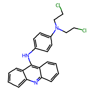 ClCCN(CCCl)c1ccc(Nc2c3ccccc3nc3ccccc23)cc1